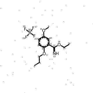 CCCOc1ccc(OC)cc1C(=N)OCC.F[B-](F)(F)F